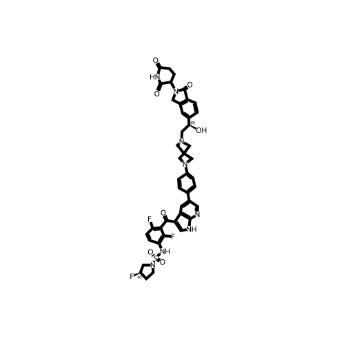 O=C1CCC(N2Cc3cc([C@@H](O)CN4CC5(C4)CN(c4ccc(-c6cnc7[nH]cc(C(=O)c8c(F)ccc(NS(=O)(=O)N9CC[C@@H](F)C9)c8F)c7c6)cc4)C5)ccc3C2=O)C(=O)N1